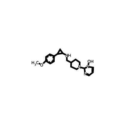 COc1ccc(C2CC2NCC2CCN(C3N=CC=CN3O)CC2)cc1